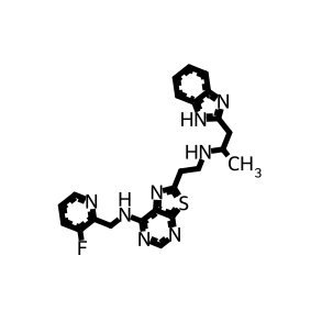 CC(Cc1nc2ccccc2[nH]1)NCCc1nc2c(NCc3ncccc3F)ncnc2s1